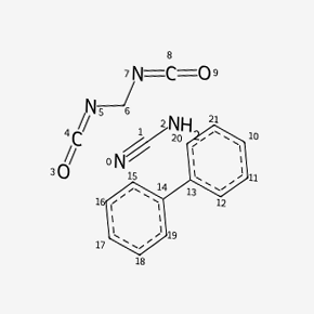 N#CN.O=C=NCN=C=O.c1ccc(-c2ccccc2)cc1